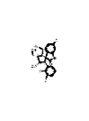 CC(C)(C)CN1[C@@H](CO)[C@@H]([N+](=O)[O-])[C@H](c2cccc(Cl)c2F)[C@]12C(=O)Nc1cc(Cl)ccc12